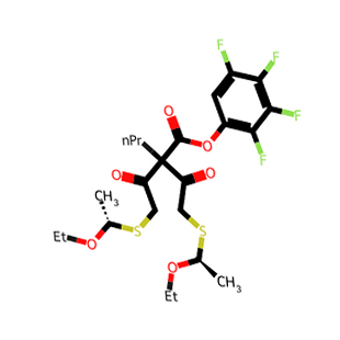 CCCC(C(=O)CS[C@@H](C)OCC)(C(=O)CS[C@@H](C)OCC)C(=O)Oc1cc(F)c(F)c(F)c1F